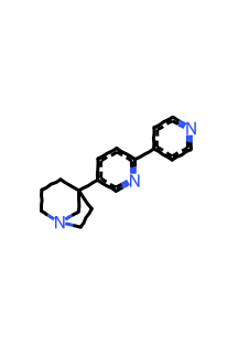 c1cc(-c2ccc(C34CCCN(CC3)C4)cn2)ccn1